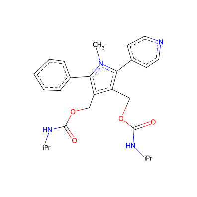 CC(C)NC(=O)OCc1c(COC(=O)NC(C)C)c(-c2ccncc2)n(C)c1-c1ccccc1